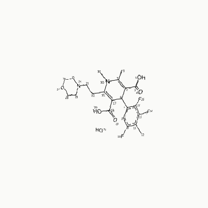 CC1=C(C(=O)O)C(c2cc(F)c(C)c(F)c2F)C(C(=O)O)=C(CCN2CCOCC2)N1C.Cl